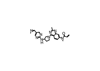 C=CC(=O)N(C)c1ccc2c(N3CCC(Nc4ncc(/C=N\C)cn4)C3)nc(C)nc2c1